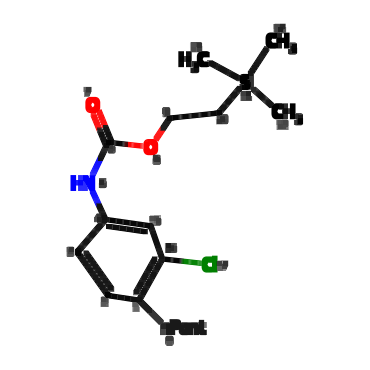 CCCCCc1ccc(NC(=O)OCC[Si](C)(C)C)cc1Cl